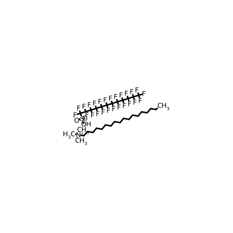 CCCCCCCCCCCCCCCCCC[N+](C)(C)C.O=S(=O)(O)C(F)(F)C(F)(F)C(F)(F)C(F)(F)C(F)(F)C(F)(F)C(F)(F)C(F)(F)C(F)(F)C(F)(F)C(F)(F)C(F)(F)F